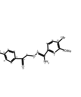 COc1nc(/C(N)=N/OCC(=O)c2ccc(Cl)cc2)ccc1Br